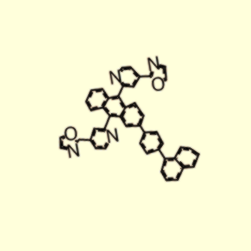 c1ccc2c(-c3ccc(-c4ccc5c(-c6cc(-c7ncco7)ccn6)c6ccccc6c(-c6cc(-c7ncco7)ccn6)c5c4)cc3)cccc2c1